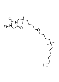 CCN1CC(=O)N(CC(C)(C)CCCCOCCCCC(C)(C)CCCCCO)C1=O